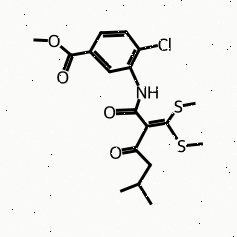 COC(=O)c1ccc(Cl)c(NC(=O)C(C(=O)CC(C)C)=C(SC)SC)c1